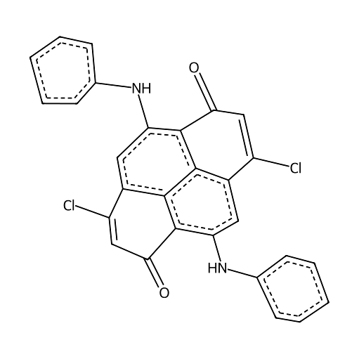 O=C1C=C(Cl)c2cc(Nc3ccccc3)c3c4c(cc(Nc5ccccc5)c1c24)C(Cl)=CC3=O